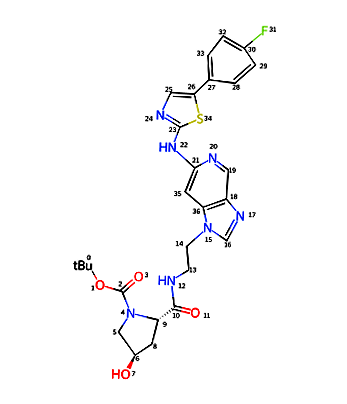 CC(C)(C)OC(=O)N1C[C@H](O)C[C@H]1C(=O)NCCn1cnc2cnc(Nc3ncc(-c4ccc(F)cc4)s3)cc21